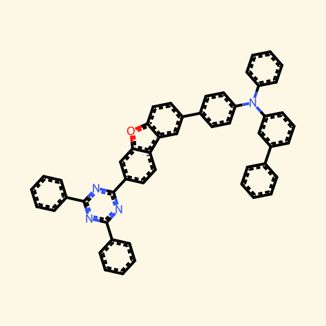 c1ccc(-c2cccc(N(c3ccccc3)c3ccc(-c4ccc5oc6cc(-c7nc(-c8ccccc8)nc(-c8ccccc8)n7)ccc6c5c4)cc3)c2)cc1